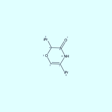 CC(C)C1=COC(C(C)C)C(=O)N1